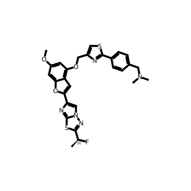 COc1cc(OCc2csc(-c3ccc(CN(C)C)cc3)n2)c2cc(-c3cn4nc([C@H](C)F)sc4n3)oc2c1